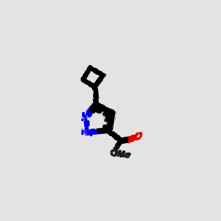 COC(=O)c1cc(C2CCC2)n[nH]1